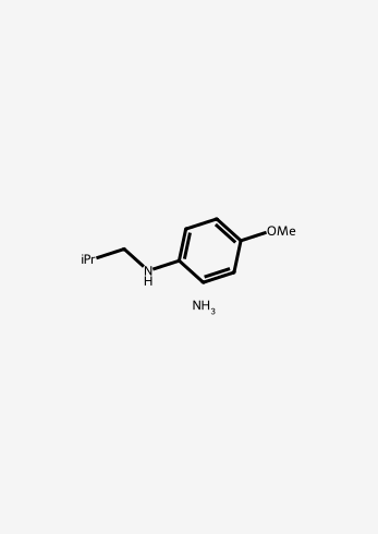 COc1ccc(NCC(C)C)cc1.N